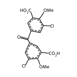 COc1c(Cl)cc(C(=O)c2cc(Cl)c(OC)c(C(=O)O)c2)cc1C(=O)O